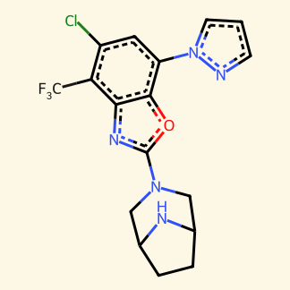 FC(F)(F)c1c(Cl)cc(-n2cccn2)c2oc(N3CC4CCC(C3)N4)nc12